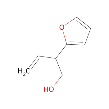 C=CC(CO)c1ccco1